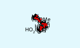 C#CC(C)Oc1cc(N2C(=O)C3=C(CCCC3)C2=O)c(F)cc1Cl.CCNc1nc(Cl)nc(NC(C)C)n1.COc1cc(OC)nc(NC(=O)NS(=O)(=O)c2ncccc2C(=O)N(C)C)n1.CP(=O)(O)CCC(N)C(=O)O